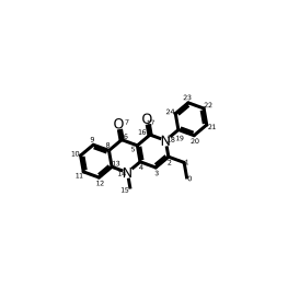 CCc1cc2c(c(=O)c3ccccc3n2C)c(=O)n1-c1ccccc1